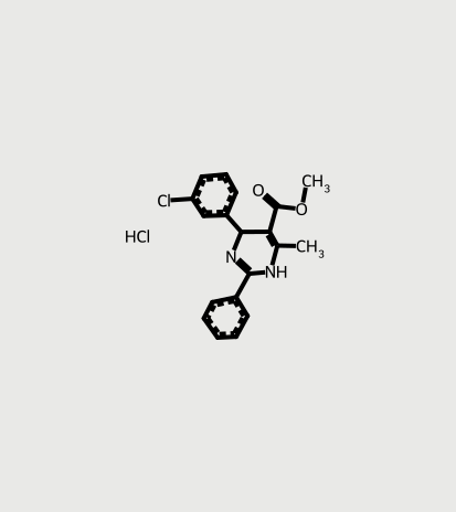 COC(=O)C1=C(C)NC(c2ccccc2)=NC1c1cccc(Cl)c1.Cl